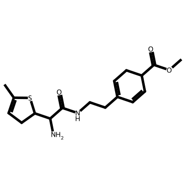 COC(=O)C1C=CC(CCNC(=O)C(N)C2CC=C(C)S2)=CC1